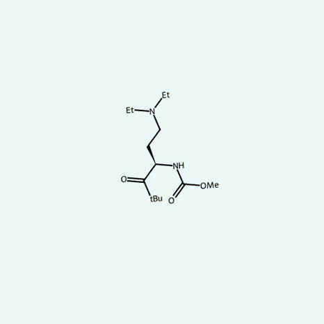 CCN(CC)CC[C@@H](NC(=O)OC)C(=O)C(C)(C)C